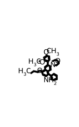 CCCCOc1cc(N)c(-c2ccccc2)c2cc(N3CCOCC3)c(-c3ccc(OC)cc3OC)cc12